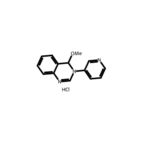 COC1c2ccccc2N=CN1c1cccnc1.Cl